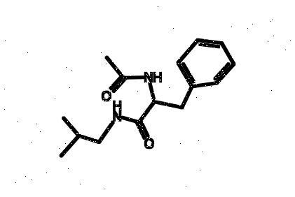 CC(=O)NC(Cc1ccccc1)C(=O)NCC(C)C